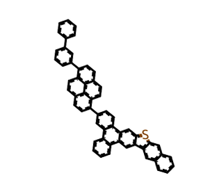 c1ccc(-c2cccc(-c3ccc4ccc5c(-c6ccc7c(c6)c6ccccc6c6cc8c(cc76)sc6cc7ccccc7cc68)ccc6ccc3c4c65)c2)cc1